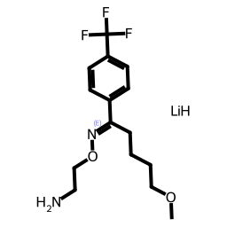 COCCCC/C(=N\OCCN)c1ccc(C(F)(F)F)cc1.[LiH]